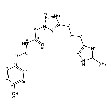 Nc1nc(CCCc2cn(CC(=O)NCCc3ccc(O)cc3)nn2)c[nH]1